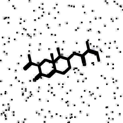 C=C(C)[C@H]1C[C@@]2(C)C(=CC1=O)CCC(OC(=O)/C(C)=C\C)[C@@H]2C